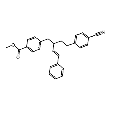 COC(=O)c1ccc(CC(C=Cc2ccccc2)CCc2ccc(C#N)cc2)cc1